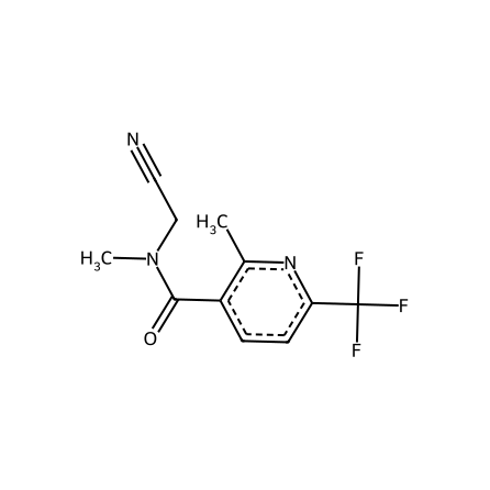 Cc1nc(C(F)(F)F)ccc1C(=O)N(C)CC#N